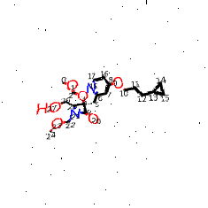 COCO[C@@]1(Cc2cc(OCCCC3CC3)ccn2)C(=O)N(COC)[C@H]1CO